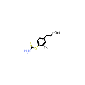 CCCCCCCCCCc1ccc(SC(N)=S)cc1.[Zn]